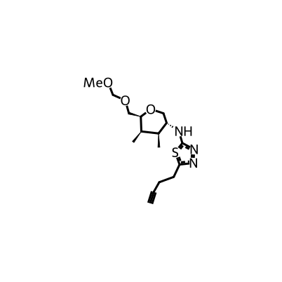 C#CCCc1nnc(N[C@H]2CO[C@H](COCOC)[C@H](C)[C@@H]2C)s1